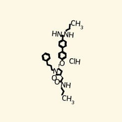 CCCCNC(=N)c1ccc(-c2ccc(OC[C@@H]3C[C@@H](CC(=O)NCCCC)C(=O)N3CCCc3ccccc3)cc2)cc1.Cl